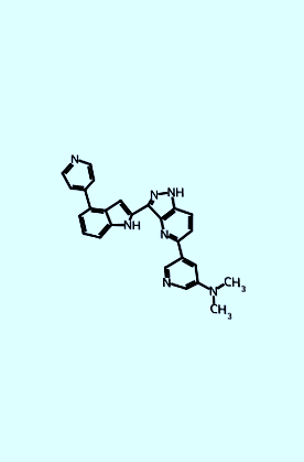 CN(C)c1cncc(-c2ccc3[nH]nc(-c4cc5c(-c6ccncc6)cccc5[nH]4)c3n2)c1